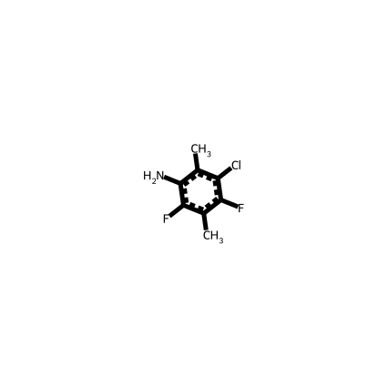 Cc1c(F)c(N)c(C)c(Cl)c1F